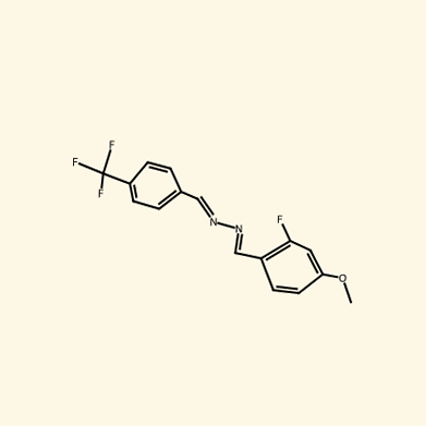 COc1ccc(C=NN=Cc2ccc(C(F)(F)F)cc2)c(F)c1